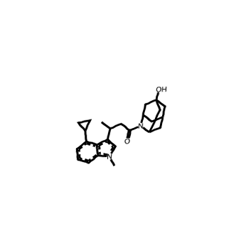 CC(CC(=O)N1C2CC3CC1CC(O)(C3)C2)c1cn(C)c2cccc(C3CC3)c12